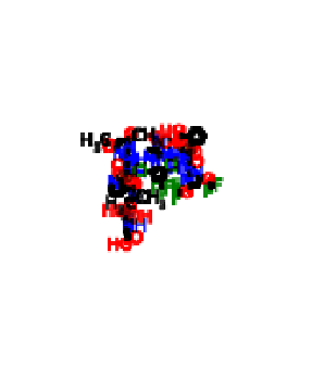 COc1cc(OC)nc(NC(=O)NS(=O)(=O)c2ncccc2C(=O)N(C)C)n1.Nc1c([N+](=O)[O-])cnn1-c1c(Cl)cc(C(F)(F)F)cc1Cl.O=C(Nc1nc(OC(F)F)cc(OC(F)F)n1)NS(=O)(=O)c1ccccc1C(=O)O.O=C(O)CNCP(=O)(O)O